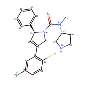 CN(C(=O)N1CC(c2cc(Cl)ccc2F)=C[C@H]1c1ccccc1)[C@@H]1CCNC1